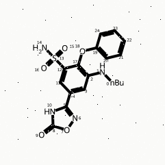 CCCCNc1cc(-c2noc(=O)[nH]2)cc(S(N)(=O)=O)c1Oc1ccccc1